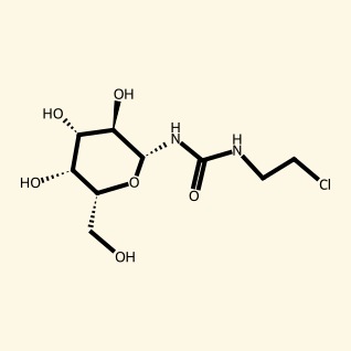 O=C(NCCCl)N[C@@H]1O[C@H](CO)[C@H](O)[C@H](O)[C@H]1O